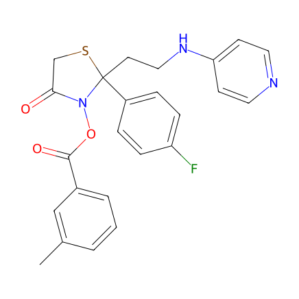 Cc1cccc(C(=O)ON2C(=O)CSC2(CCNc2ccncc2)c2ccc(F)cc2)c1